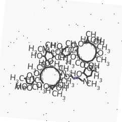 COC1(C)CC(O[C@H]2[C@H](C)[C@@H](OC3OC(C)CC(N(C)C)C3O)C(C)(O)C[C@@H](C)C(=NOC/C=C/CN(C)C3CC(C)OC(O[C@@H]4[C@@H](C)[C@H](OC5CC(C)(OC)C(O)C(C)O5)[C@@H](C)C(=O)O[C@@H]5C(C)[C@]5(O)[C@H](O)[C@@H](C)C(=O)[C@H](C)CC4(C)O)C3O)[C@H](C)[C@@H](O)[C@@]3(O)C(C)[C@H]3OC(=O)[C@@H]2C)OC(C)C1O